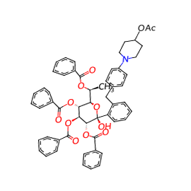 CC(=O)OC1CCN(c2ccc(Cc3ccccc3[C@@]3(O)O[C@H]([C@H](C)OC(=O)c4ccccc4)[C@@H](OC(=O)c4ccccc4)[C@H](OC(=O)c4ccccc4)[C@H]3OC(=O)c3ccccc3)cc2)CC1